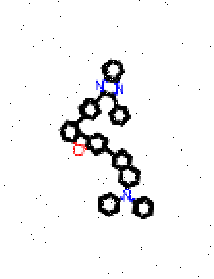 c1ccc(-c2nc3ccccc3nc2-c2ccc(-c3cccc4oc5cc(-c6ccc7ccc(N(c8ccccc8)c8ccccc8)cc7c6)ccc5c34)cc2)cc1